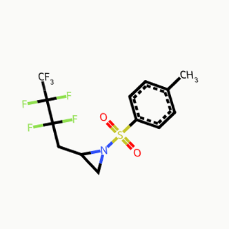 Cc1ccc(S(=O)(=O)N2CC2CC(F)(F)C(F)(F)C(F)(F)F)cc1